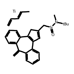 C=C1c2ccccc2C2=C(CC(C[Si](=O)N(C)C(C)(C)C)=C2)c2ccccc21.C=CC=CC.[Ti]